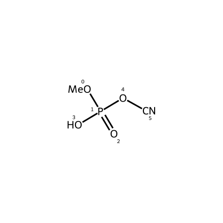 COP(=O)(O)OC#N